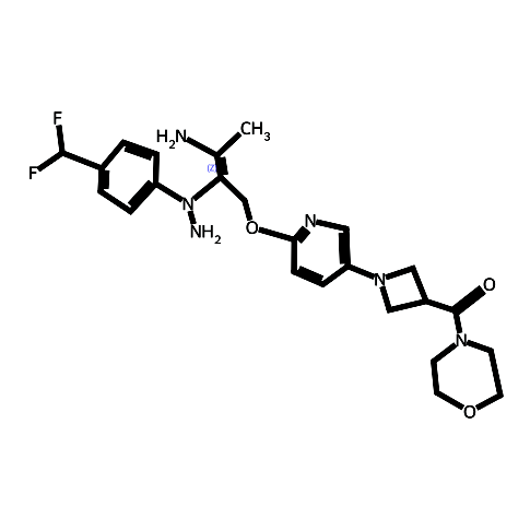 C/C(N)=C(\COc1ccc(N2CC(C(=O)N3CCOCC3)C2)cn1)N(N)c1ccc(C(F)F)cc1